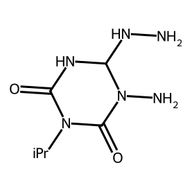 CC(C)N1C(=O)NC(NN)N(N)C1=O